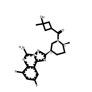 C[C@H]1CC[C@@H](c2nc3c4cc(F)cc(F)c4nc(N)n3n2)CN1C(=O)C1CC(C)(O)C1